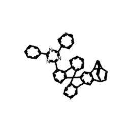 C1=CC2C3C=CC1c1cc4c(cc1C23)C1(c2ccccc2-4)c2ccccc2-c2c(-c3nc(-c4ccccc4)nc(-c4ccccc4)n3)cccc21